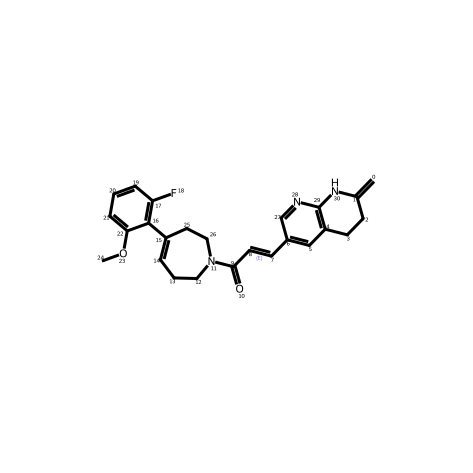 C=C1CCc2cc(/C=C/C(=O)N3CCC=C(c4c(F)cccc4OC)CC3)cnc2N1